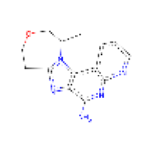 CC1COCCc2nc3c(N)nc4ncccc4c3n21